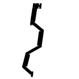 N=N/C=C\C=C/I